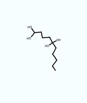 CCCCCC(O)(O)CCCC(O)O